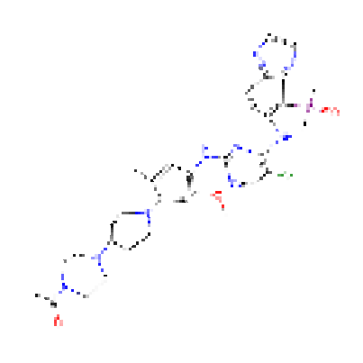 COc1cc(N2CCC(N3CCN(C(C)=O)CC3)CC2)c(C)cc1Nc1ncc(Br)c(Nc2ccc3nccnc3c2P(C)(C)=O)n1